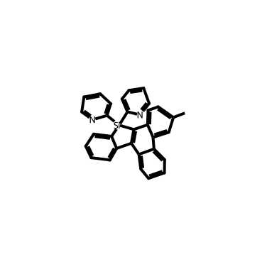 Cc1ccc2c3c(c4ccccc4c2c1)-c1ccccc1[Si]3(c1ccccn1)c1ccccn1